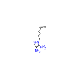 COCCCCCn1ncc(N)c1N